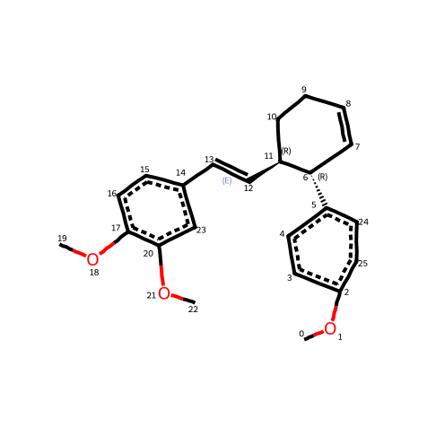 COc1ccc([C@H]2C=CCC[C@@H]2/C=C/c2ccc(OC)c(OC)c2)cc1